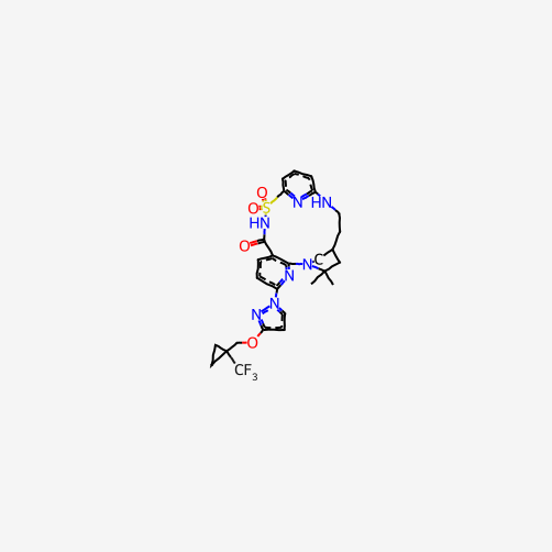 CC1(C)CC2CCNc3cccc(n3)S(=O)(=O)NC(=O)c3ccc(-n4ccc(OCC5(C(F)(F)F)CC5)n4)nc3N1C2